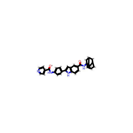 O=C(Nc1ccc(-c2cc3cc(C(=O)NC45CC6CC(CC(C6)C4)C5)ccc3[nH]2)cc1)c1ccncc1